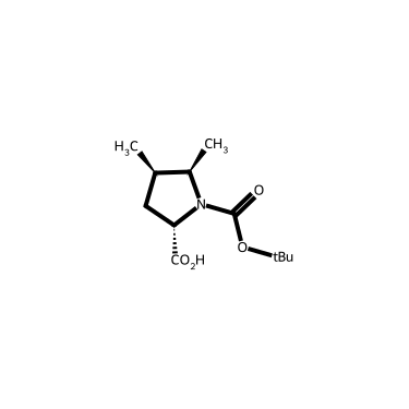 C[C@@H]1C[C@@H](C(=O)O)N(C(=O)OC(C)(C)C)[C@@H]1C